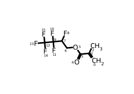 C=C(C)C(=O)OCC(F)C(F)(F)C(F)(F)F